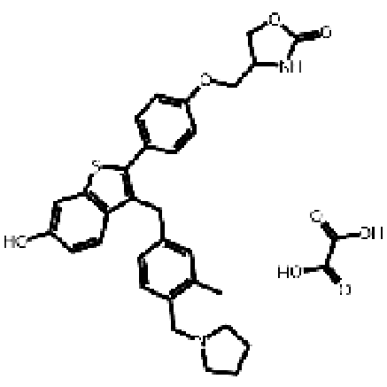 Cc1cc(Cc2c(-c3ccc(OCC4COC(=O)N4)cc3)sc3cc(O)ccc23)ccc1CN1CCCC1.O=C(O)C(=O)O